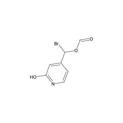 O=COC(Br)c1ccnc(O)c1